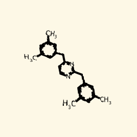 Cc1cc(C)cc(Cc2ccnc(Cc3cc(C)cc(C)c3)n2)c1